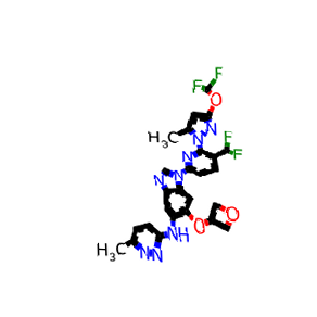 Cc1ccc(Nc2cc3ncn(-c4ccc(C(F)F)c(-n5nc(OC(F)F)cc5C)n4)c3cc2OC2COC2)nn1